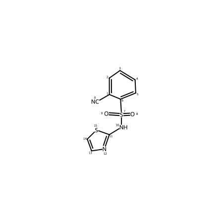 N#Cc1ccccc1S(=O)(=O)Nc1nccs1